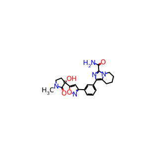 CN1CC[C@@](O)(c2cc(-c3cccc(-c4nc(C(N)=O)n5c4CCCC5)c3)no2)C1=O